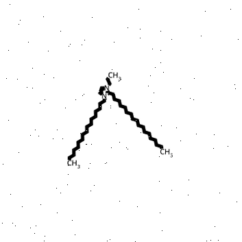 CCCCCCCCCCCCCCCCCCc1n(CCC)cc[n+]1CCCCCCCCCCCCCCCCC